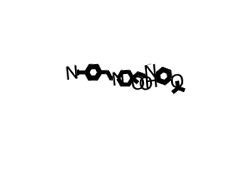 CC(C)Oc1ccc(N(C)C(=O)CC2(O)CCN(CCc3ccc(C#N)cc3)CC2)cc1